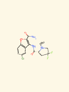 CC(C)(C)N1CC(F)(F)C[C@@H]1C(=O)Nc1c(C(N)=O)oc2ccc(Cl)cc12